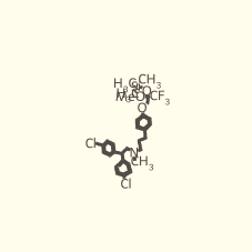 COC(COc1ccc(CCCN(C)CC(c2ccc(Cl)cc2)c2ccc(Cl)cc2)cc1)(O[Si](C)(C)C)C(F)(F)F